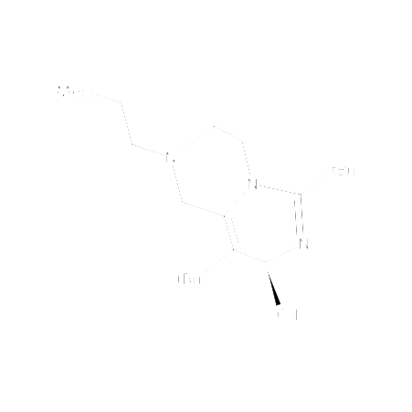 COCCN1CCN2C(C(C)(C)C)=N[C@@H](C)C(C(C)(C)C)=C2C1